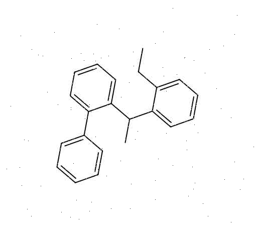 CCc1ccccc1C(C)c1ccccc1-c1ccccc1